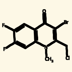 Cn1c(CCl)c(Br)c(=O)c2cc(F)c(F)cc21